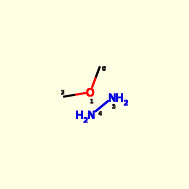 COC.NN